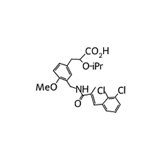 COc1ccc(CC(OC(C)C)C(=O)O)cc1CNC(=O)/C(C)=C/c1cccc(Cl)c1Cl